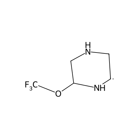 FC(F)(F)OC1CNC[CH]N1